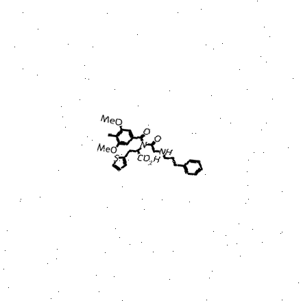 COc1cc(C(=O)N(C(=O)CNCCCc2ccccc2)C(Cc2cccs2)C(=O)O)cc(OC)c1C